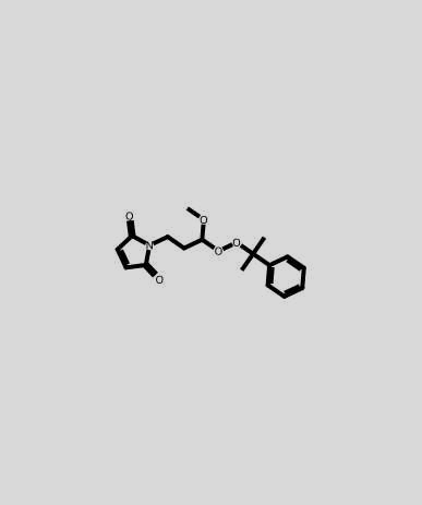 COC(CCN1C(=O)C=CC1=O)OOC(C)(C)c1ccccc1